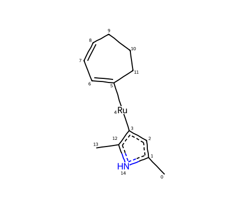 Cc1c[c]([Ru][C]2=CC=CCCC2)c(C)[nH]1